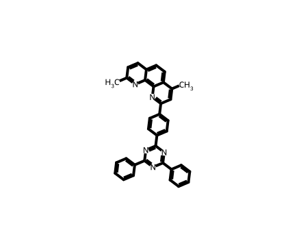 Cc1ccc2ccc3c(C)cc(-c4ccc(-c5nc(-c6ccccc6)nc(-c6ccccc6)n5)cc4)nc3c2n1